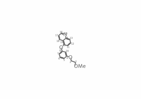 COCCOc1cccc(Oc2cccc3ncccc23)c1